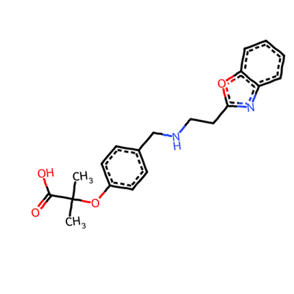 CC(C)(Oc1ccc(CNCCc2nc3ccccc3o2)cc1)C(=O)O